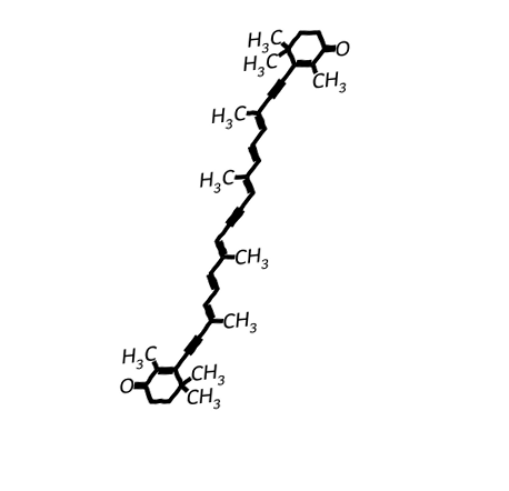 CC1=C(C#C/C(C)=C/C=C/C(C)=C/C#C/C=C(C)/C=C/C=C(\C)C#CC2=C(C)C(=O)CCC2(C)C)C(C)(C)CCC1=O